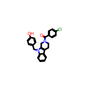 O=C(c1ccc(Cl)cc1)N1CCc2c(n(Cc3ccc(O)cc3)c3ccccc23)C1